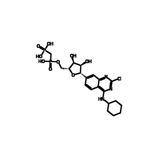 O=P(O)(O)CP(=O)(O)OC[C@H]1O[C@@H](c2ccc3c(NC4CCCCC4)nc(Cl)nc3c2)[C@H](O)[C@@H]1O